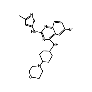 Cc1cc(Nc2nc(NC3CCC(N4CCOCC4)CC3)c3cc(Br)ccc3n2)sn1